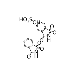 O=C1NS(=O)(=O)c2ccccc21.O=C1NS(=O)(=O)c2ccccc21.O=S(=O)(O)O